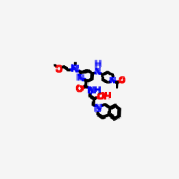 COCCN(C)c1cc(NC2CCN(C(C)=O)CC2)cc(C(=O)NCC(O)CN2CCc3ccccc3C2)n1